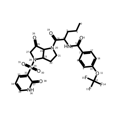 CCCC(NC(=O)c1ccc(OC(F)(F)F)cc1)C(=O)N1CCC2C1C(=O)CN2S(=O)(=O)c1ccc[nH]c1=O